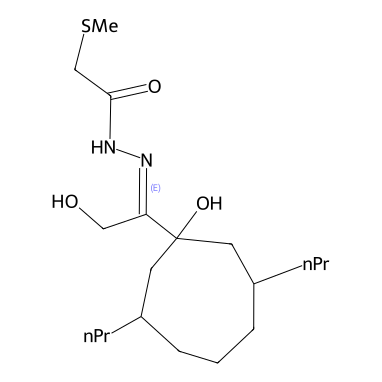 CCCC1CCCC(CCC)CC(O)(/C(CO)=N/NC(=O)CSC)C1